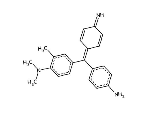 Cc1cc(C(=C2C=CC(=N)C=C2)c2ccc(N)cc2)ccc1N(C)C